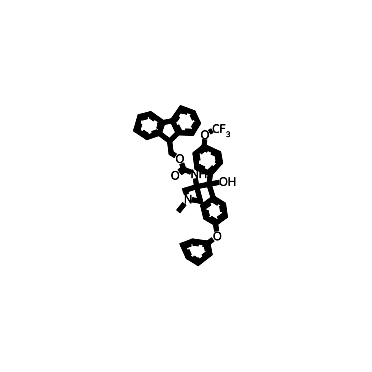 CN1CC(NC(=O)OCC2c3ccccc3-c3ccccc32)(C(O)(c2ccc(Oc3ccccc3)cc2)c2ccc(OC(F)(F)F)cc2)C1